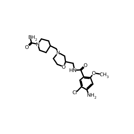 BC(=O)N1CCC(CN2CCOC(CNC(=O)c3cc(Cl)c(N)cc3OC)C2)CC1